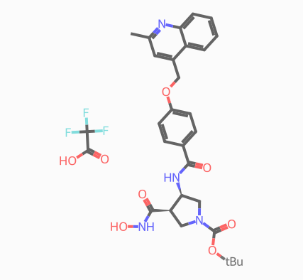 Cc1cc(COc2ccc(C(=O)N[C@H]3CN(C(=O)OC(C)(C)C)C[C@H]3C(=O)NO)cc2)c2ccccc2n1.O=C(O)C(F)(F)F